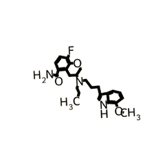 CCCN(CCCc1c[nH]c2c(OC)cccc12)C1COc2c(F)ccc(C(N)=O)c2C1